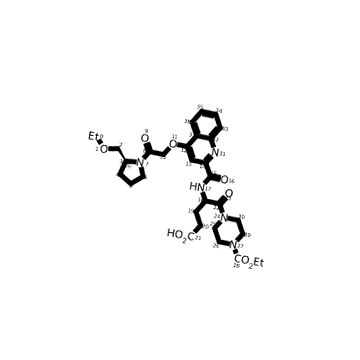 CCOC[C@@H]1CCCN1C(=O)COc1cc(C(=O)NC(CCC(=O)O)C(=O)N2CCN(C(=O)OCC)CC2)nc2ccccc12